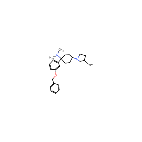 CCCC1CCN(C2CCC(c3cccc(OCc4ccccc4)c3)(N(C)C)CC2)C1